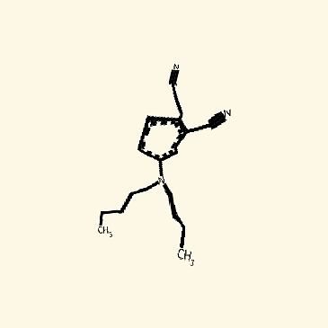 CCCCN(CCCC)c1ccc(C#N)c(C#N)c1